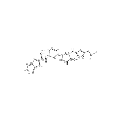 CN(C)Cc1cc(Nc2cc(-c3ccc(F)c(NC(=O)c4cc5ccccc5s4)c3)n[nH]c2=O)no1